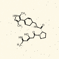 CC(=N)/C=C(\O)CC(=O)N1CCC[C@H]1C(=O)NCC1C=CC(c2c(C)n[nH]c2C)=CC1